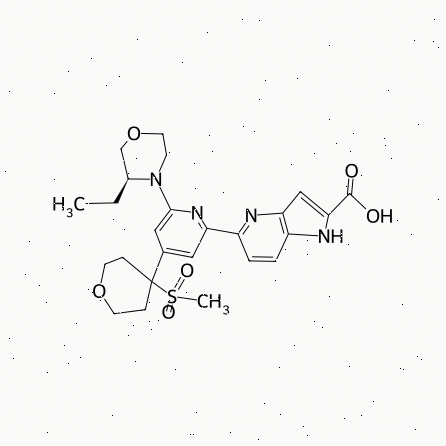 CC[C@H]1COCCN1c1cc(C2(S(C)(=O)=O)CCOCC2)cc(-c2ccc3[nH]c(C(=O)O)cc3n2)n1